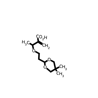 C=C(C(=O)O)C(C)OCCC1OCC(C)(C)CO1